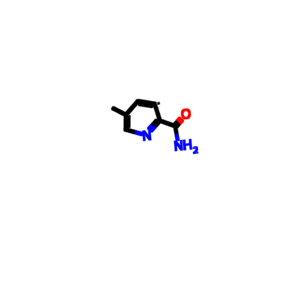 Cc1c[c]c(C(N)=O)nc1